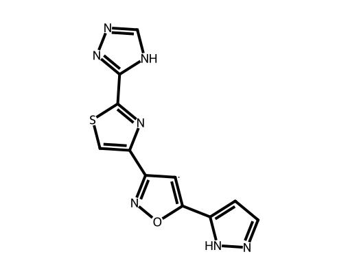 [c]1c(-c2csc(-c3nnc[nH]3)n2)noc1-c1ccn[nH]1